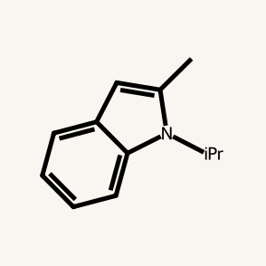 Cc1cc2ccccc2n1C(C)C